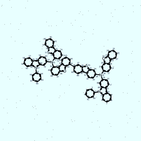 c1ccc(-n2c3ccccc3c3ccc(N(c4ccc5c(c4)oc4ccccc45)c4ccc5c(c4)sc4cc(-c6cccc7c6oc6cccc(N(c8ccc9c%10ccccc%10n(-c%10ccccc%10)c9c8)c8cccc9c8sc8ccccc89)c67)ccc45)cc32)cc1